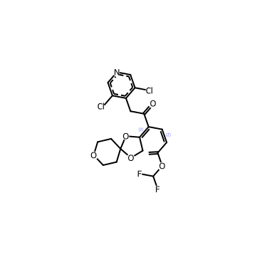 C=C(/C=C\C(C(=O)Cc1c(Cl)cncc1Cl)=C1/COC2(CCOCC2)O1)OC(F)F